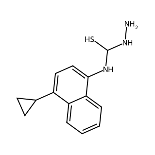 NNC(S)Nc1ccc(C2CC2)c2ccccc12